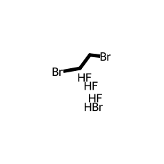 Br.BrCCBr.F.F.F